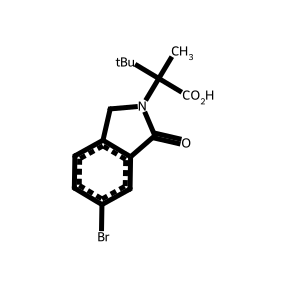 CC(C)(C)C(C)(C(=O)O)N1Cc2ccc(Br)cc2C1=O